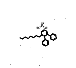 CCCCCCCCc1cccc(-c2ccccc2)c1-c1ccccc1.OP(O)O